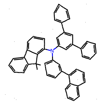 CC1(C)c2ccccc2-c2cccc(N(c3cc(-c4ccccc4)cc(-c4ccccc4)c3)c3cccc(-c4cccc5ccccc45)c3)c21